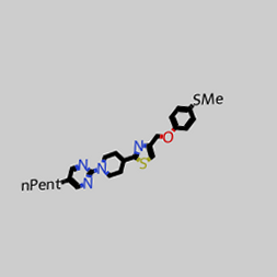 CCCCCc1cnc(N2CCC(c3nc(COc4ccc(SC)cc4)cs3)CC2)nc1